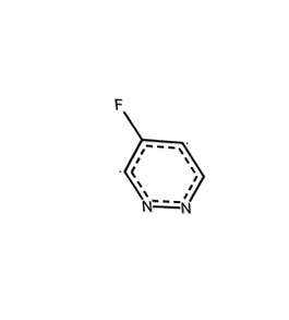 Fc1[c]cnn[c]1